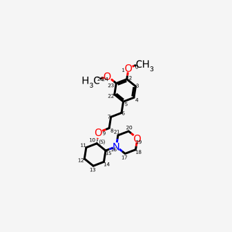 COc1ccc(CCCO[C@H]2CCCCC2N2CCOCC2)cc1OC